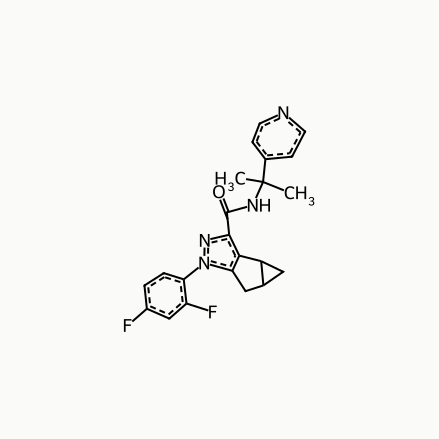 CC(C)(NC(=O)c1nn(-c2ccc(F)cc2F)c2c1C1CC1C2)c1ccncc1